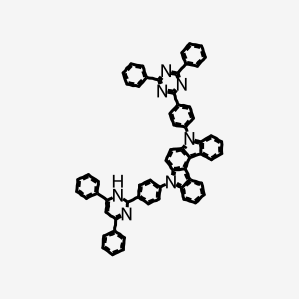 C1=C(c2ccccc2)NC(c2ccc(-n3c4ccccc4c4c5c6ccccc6n(-c6ccc(-c7nc(-c8ccccc8)nc(-c8ccccc8)n7)cc6)c5ccc43)cc2)N=C1c1ccccc1